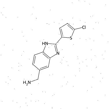 NCc1ccc2[nH]c(-c3ccc(Cl)s3)nc2c1